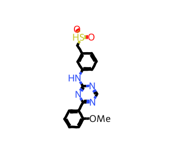 COc1ccccc1-c1ncnc(Nc2cccc(C[SH](=O)=O)c2)n1